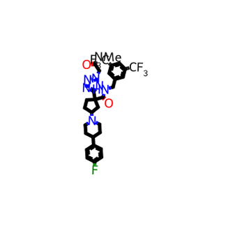 CNC(=O)Cn1nnc(C2(C(=O)NCc3cc(C(F)(F)F)cc(C(F)(F)F)c3)CCC(N3CCC(c4ccc(F)cc4)CC3)C2)n1